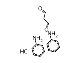 Cl.Nc1ccccc1.Nc1ccccc1.O=CCC=O